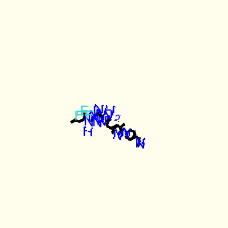 CCCC(Nc1nc(N)c2ncc(Cc3cnc(N4CCC(CN(C)C)CC4)c(C)c3)n2n1)C(F)(F)F